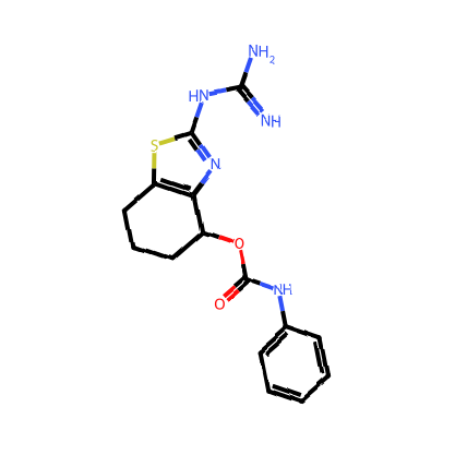 N=C(N)Nc1nc2c(s1)CCCC2OC(=O)Nc1ccccc1